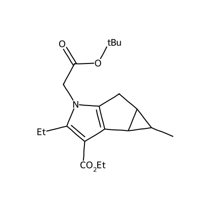 CCOC(=O)c1c2c(n(CC(=O)OC(C)(C)C)c1CC)CC1C(C)C21